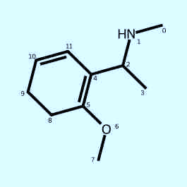 CNC(C)C1=C(OC)CCC=C1